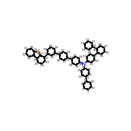 c1ccc(-c2ccc(N(c3ccc(-c4ccc(-c5cccc(-c6cccc7c6sc6ccccc67)c5)cc4)cc3)c3ccc(-c4ccccc4-c4ccccc4)cc3)cc2)cc1